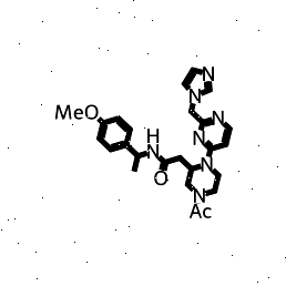 COc1ccc(C(C)NC(=O)CC2CN(C(C)=O)CCN2c2ccnc(Cn3ccnc3)n2)cc1